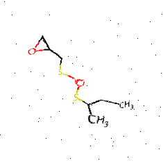 CCC(C)SOSCC1CO1